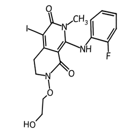 Cn1c(Nc2ccccc2F)c2c(c(I)c1=O)CCN(OCCO)C2=O